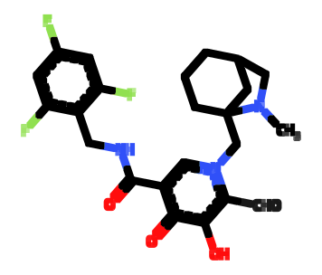 CN1CC2CCCC1(Cn1cc(C(=O)NCc3c(F)cc(F)cc3F)c(=O)c(O)c1C=O)C2